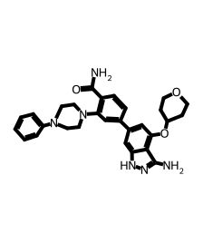 NC(=O)c1ccc(-c2cc(OC3CCOCC3)c3c(N)n[nH]c3c2)cc1N1CCN(c2ccccc2)CC1